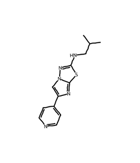 CC(C)CNc1nn2cc(-c3ccncc3)nc2s1